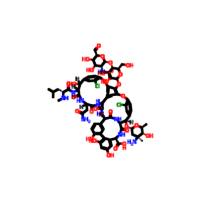 CN[C@H](CC(C)C)C(=O)N[C@H]1C(=O)N[C@@H](CC(N)=O)C(=O)N[C@H]2C(=O)N[C@H]3C(=O)NC(C(=O)N[C@@H](C(=O)O)c4cc(O)cc(O)c4-c4cc3ccc4O)[C@H](O[C@H]3C[C@](C)(N)[C@@H](O)[C@H](C)O3)c3ccc(c(Cl)c3)Oc3cc2cc(c3O[C@@H]2O[C@H](CO)[C@@H](O[C@@H]3O[C@H](C=O)[C@H](O)[C@H](O)[C@H]3NC(C)=O)[C@H](O)[C@H]2O)Oc2ccc(cc2Cl)[C@H]1O